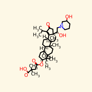 CC(C)C1=C2[C@H]3CC[C@@H]4[C@@]5(C)CC[C@H](OC(=O)CC(C)(C)C(=O)O)C(C)(C)[C@@H]5CC[C@@]4(C)[C@]3(C)CC[C@@]2([C@@H](O)CN2CCCC(O)C2)CC1=O